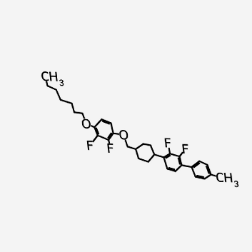 CCCCCCCOc1ccc(OCC2CCC(c3ccc(-c4ccc(C)cc4)c(F)c3F)CC2)c(F)c1F